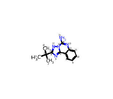 CC(C)(C)c1nc2c3ccccc3nc(N)n2n1